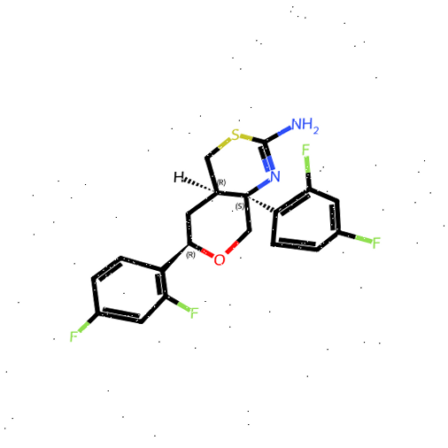 NC1=N[C@@]2(c3ccc(F)cc3F)CO[C@@H](c3ccc(F)cc3F)C[C@H]2CS1